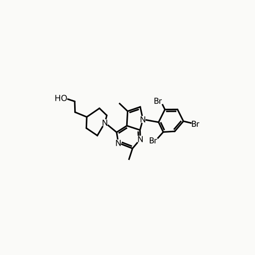 Cc1nc(N2CCC(CCO)CC2)c2c(C)cn(-c3c(Br)cc(Br)cc3Br)c2n1